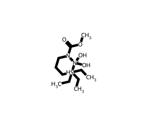 CC[SH]1(CC)(CC)CCCN(C(=O)OC)[N+]1(O)O